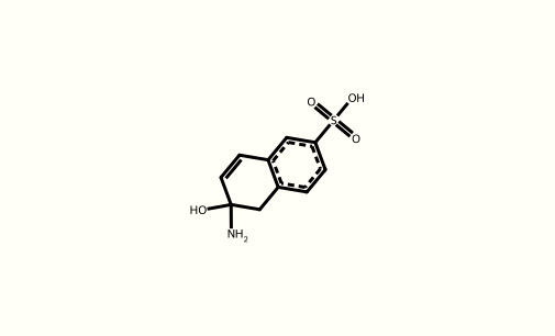 NC1(O)C=Cc2cc(S(=O)(=O)O)ccc2C1